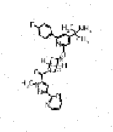 Cn1nc(-c2ncccn2)cc1C(=O)N1C[C@@H]2[C@H]1C[C@H]2Oc1cc(C(C)(C)N)cc(-c2ccc(F)cc2)n1